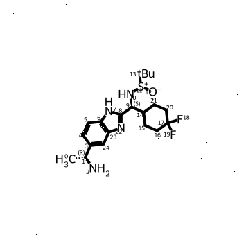 C[C@@H](N)c1ccc2[nH]c([C@@H](N[S+]([O-])C(C)(C)C)C3CCC(F)(F)CC3)nc2c1